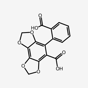 O=C(O)c1ccccc1-c1c2c(c3c(c1C(=O)O)OCO3)OCO2